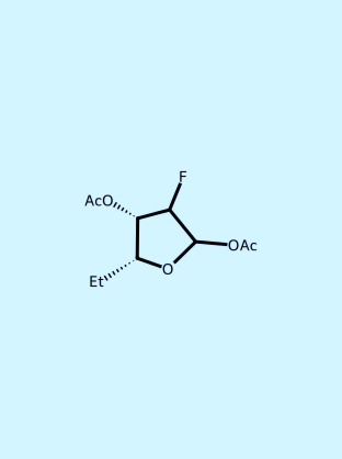 CC[C@H]1OC(OC(C)=O)C(F)[C@H]1OC(C)=O